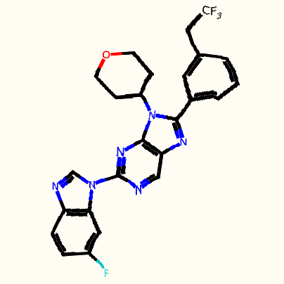 Fc1ccc2ncn(-c3ncc4nc(-c5cccc(CC(F)(F)F)c5)n(C5CCOCC5)c4n3)c2c1